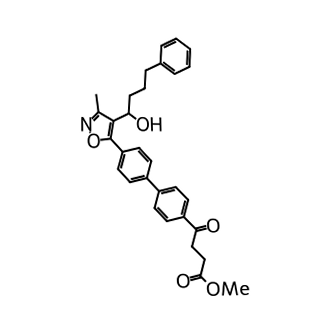 COC(=O)CCC(=O)c1ccc(-c2ccc(-c3onc(C)c3C(O)CCCc3ccccc3)cc2)cc1